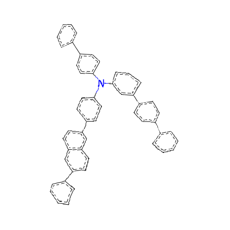 c1ccc(-c2ccc(-c3cccc(N(c4ccc(-c5ccccc5)cc4)c4ccc(-c5ccc6cc(-c7ccccc7)ccc6c5)cc4)c3)cc2)cc1